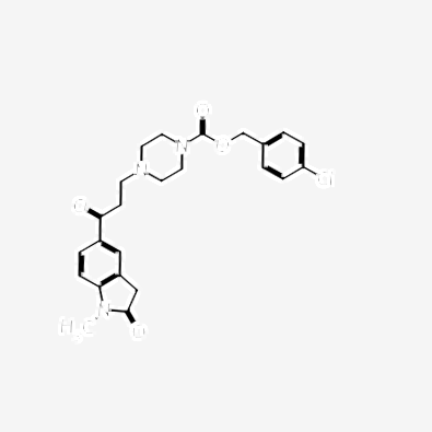 CN1C(=O)Cc2cc(C(=O)CCN3CCN(C(=O)OCc4ccc(Cl)cc4)CC3)ccc21